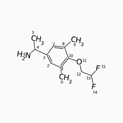 Cc1cc(C(C)N)cc(C)c1OCC(F)F